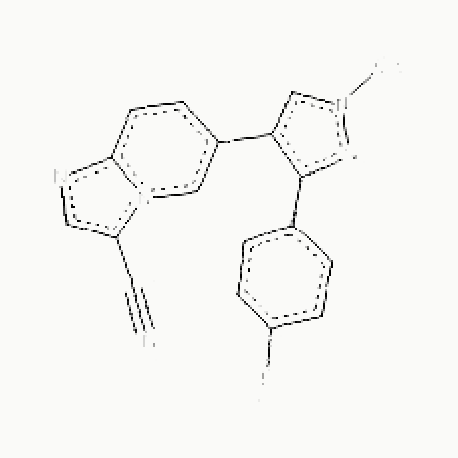 Cn1cc(-c2ccc3ncc(C#N)n3c2)c(-c2ccc(F)cc2)n1